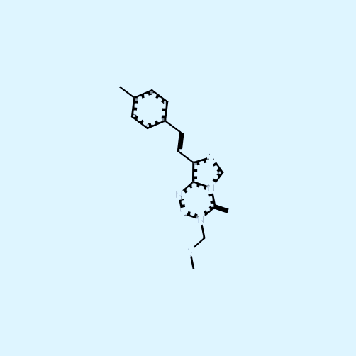 CSCn1nnc2c(/C=C/c3ccc(C)cc3)ncn2c1=O